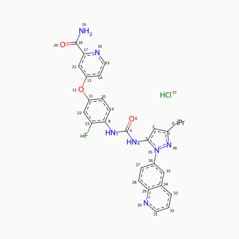 CC(C)c1cc(NC(=O)Nc2ccc(Oc3ccnc(C(N)=O)c3)cc2F)n(-c2ccc3ncccc3c2)n1.Cl